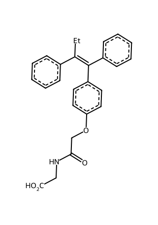 CC/C(=C(\c1ccccc1)c1ccc(OCC(=O)NCC(=O)O)cc1)c1ccccc1